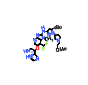 COCCN1CC[C@H](n2nc(Nc3nc4ncc(O/C(C=N)=C5\C=NC=CN5)c(C(F)F)c4n3C)cc2C(C)(C)C)C1